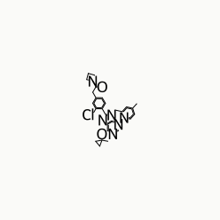 Cc1ccnc(Cn2c(-c3ccc(CC(=O)N4CCC4)cc3Cl)nc3c(OC4(C)CC4)ncnc32)c1